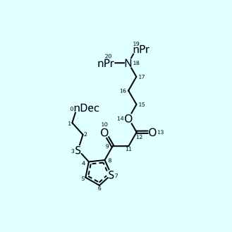 CCCCCCCCCCCCSc1ccsc1C(=O)CC(=O)OCCCN(CCC)CCC